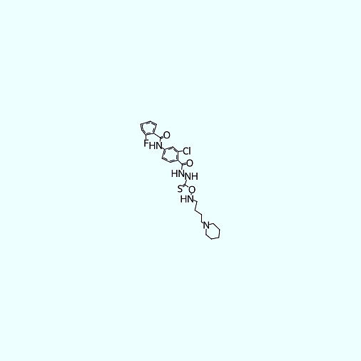 O=C(Nc1ccc(C(=O)NNC(=S)ONCCCCN2CCCCC2)c(Cl)c1)c1ccccc1F